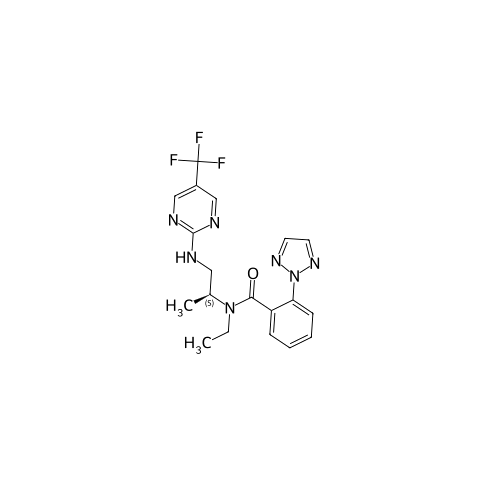 CCN(C(=O)c1ccccc1-n1nccn1)[C@@H](C)CNc1ncc(C(F)(F)F)cn1